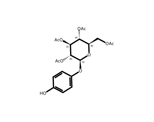 CC(=O)OC[C@H]1O[C@@H](Oc2ccc(O)cc2)[C@H](OC(C)=O)[C@@H](OC(C)=O)[C@@H]1OC(C)=O